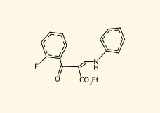 CCOC(=O)/C(=C\Nc1ccccc1)C(=O)c1ccccc1F